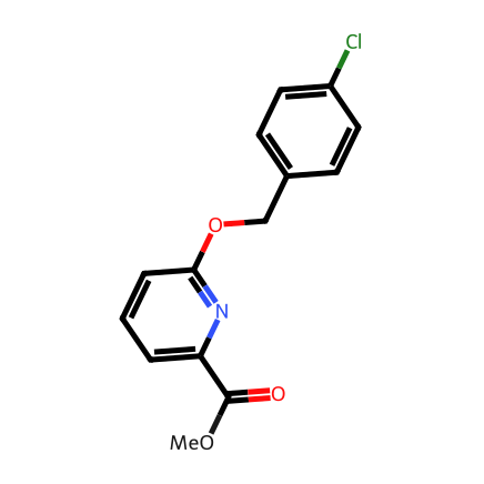 COC(=O)c1cccc(OCc2ccc(Cl)cc2)n1